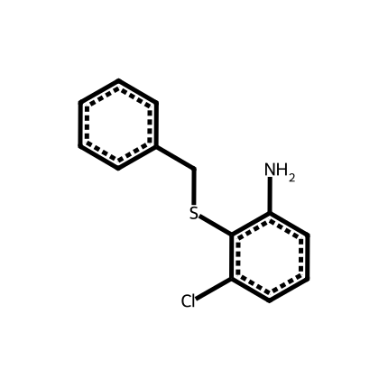 Nc1cccc(Cl)c1SCc1ccccc1